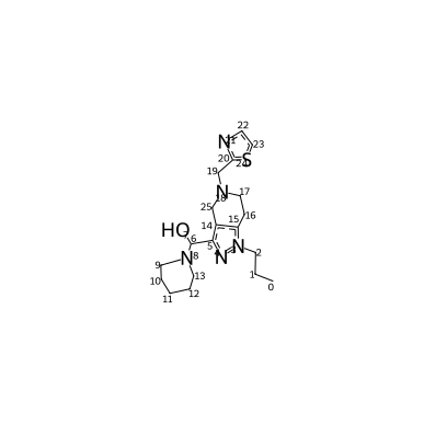 CCCn1nc(C(O)N2CCCCC2)c2c1CCN(Cc1nccs1)C2